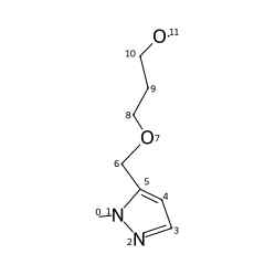 Cn1nccc1COCCC[O]